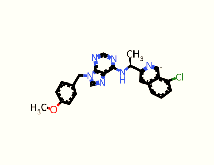 COc1ccc(Cn2cnc3c(N[C@@H](C)c4cc5cccc(Cl)c5[c]n4)ncnc32)cc1